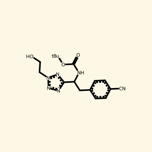 CC(C)(C)OC(=O)NC(Cc1ccc(C#N)cc1)c1nnn(CCO)n1